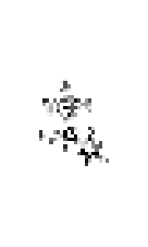 C[C@H]1[C@H](F)[C@H](n2cc(F)c(=O)[nH]c2=O)O[C@@H]1CO[Si](C)(C)C(C)(C)C